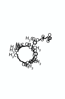 COC1C(=O)[C@H](C)CC(C)/C=C/C=C/C=C(\C)[C@@H](OC)C[C@@H]2CC[C@@H](C)[C@@](O)(O2)C(=O)C(=O)N2CCCCC2C(=O)O[C@H]([C@@H](C)C[C@@H]2CC[C@@H](OCCOC(=O)CCN3C(=O)C=CC3=O)[C@H](OC)C2)CC(=O)C(C)/C=C(\C)[C@H]1O